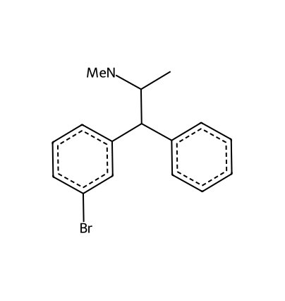 CNC(C)C(c1ccccc1)c1cccc(Br)c1